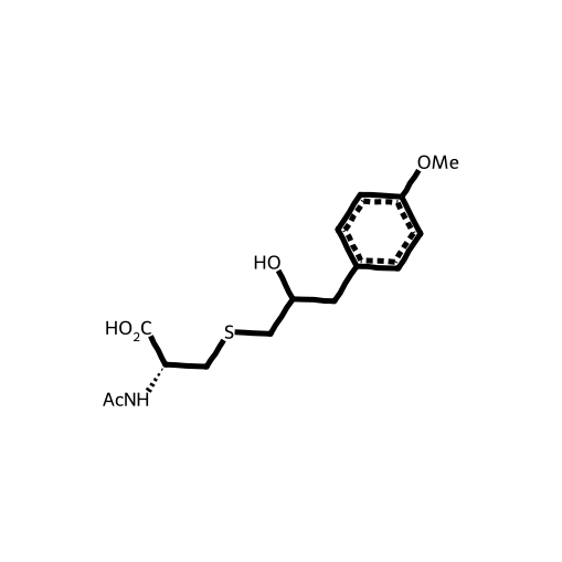 COc1ccc(CC(O)CSC[C@H](NC(C)=O)C(=O)O)cc1